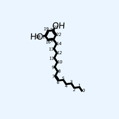 CCCCCC/C=C\CCCCCCCc1cc(O)cc(O)c1